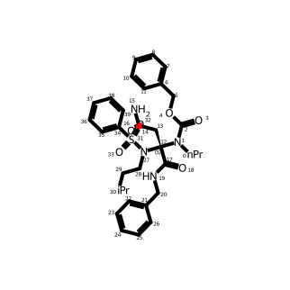 CCCN(C(=O)OCc1ccccc1)[C@](CC(N)=O)(C(=O)NCc1ccccc1)N(CCC(C)C)S(=O)(=O)c1ccccc1